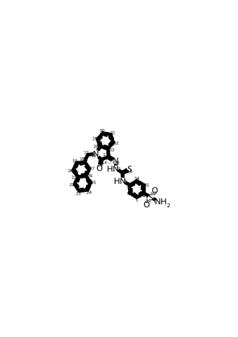 NS(=O)(=O)c1ccc(NC(=S)N/N=C2\C(=O)N(Cc3ccc4ccccc4c3)c3ccccc32)cc1